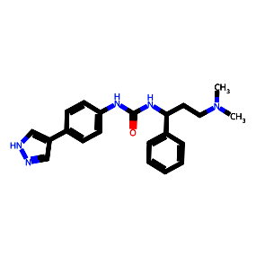 CN(C)CCC(NC(=O)Nc1ccc(-c2cn[nH]c2)cc1)c1ccccc1